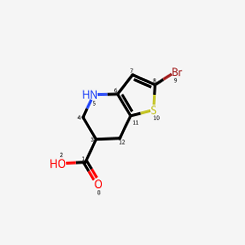 O=C(O)C1CNc2cc(Br)sc2C1